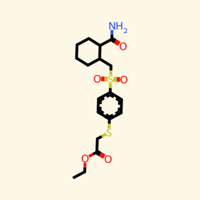 CCOC(=O)CSc1ccc(S(=O)(=O)CC2CCCCC2C(N)=O)cc1